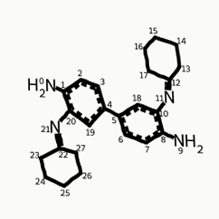 Nc1ccc(-c2ccc(N)c(N=C3CCCCC3)c2)cc1N=C1CCCCC1